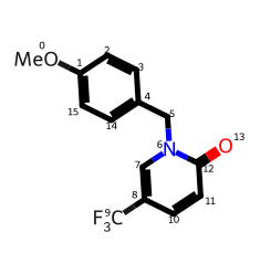 COc1ccc(Cn2cc(C(F)(F)F)ccc2=O)cc1